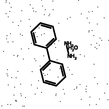 NN.O.c1ccc(-c2ccccc2)cc1